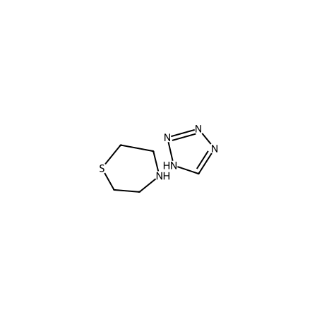 C1CSCCN1.c1nnn[nH]1